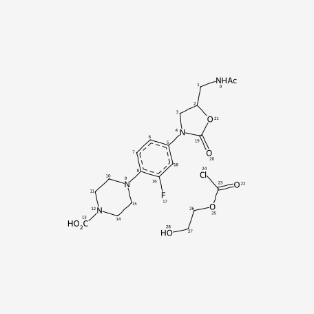 CC(=O)NCC1CN(c2ccc(N3CCN(C(=O)O)CC3)c(F)c2)C(=O)O1.O=C(Cl)OCCO